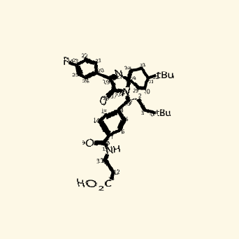 CC(C)(C)CC[C@H](c1ccc(C(=O)NCCC(=O)O)cc1)N1C(=O)C(c2ccc(F)cc2)=NC12CCC(C(C)(C)C)CC2